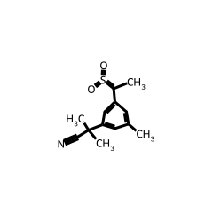 CC(c1cc(C)cc(C(C)(C)C#N)c1)=S(=O)=O